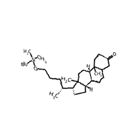 C[C@H](CCCO[Si](C)(C)C(C)(C)C)[C@H]1CC[C@H]2C3CCC4CC(=O)CCC4(C)[C@H]3CCC12C